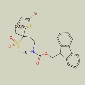 O=C(O)CC1(c2ccc(Br)s2)CCN(C(=O)OCC2c3ccccc3-c3ccccc32)CCS1(=O)=O